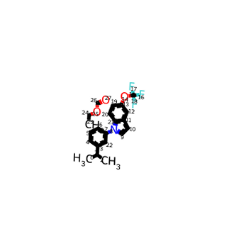 CC(C)c1cccc(-n2ccc3cc(OC(F)(F)F)ccc32)c1.CCOC=O